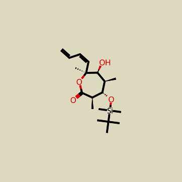 C=C/C=C\[C@]1(C)OC(=O)[C@H](C)[C@@H](O[Si](C)(C)C(C)(C)C)[C@H](C)[C@@H]1O